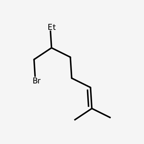 CCC(CBr)CCC=C(C)C